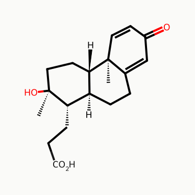 C[C@]1(O)CC[C@H]2[C@@H](CCC3=CC(=O)C=C[C@@]32C)[C@@H]1CCC(=O)O